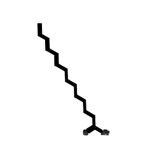 C=CC=CC=CCCCCCCCC(=O)CCC